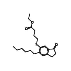 CCCCCCc1cc2c(cc1SCCCC(=O)OCC)C(=O)CC2